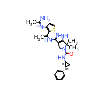 C=C(Nc1n[nH]c2c1CN(C(=O)N[C@H]1C[C@@H]1c1ccccc1)C2(C)C)c1sccc1/N=C(/C)N